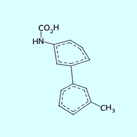 Cc1cccc(-c2cccc(NC(=O)O)c2)c1